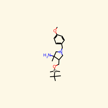 COc1ccc(CN2CC(CO[Si](C)(C)C(C)(C)C)C(C)(N)C2)cc1